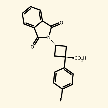 O=C1c2ccccc2C(=O)N1[C@H]1C[C@@](C(=O)O)(c2ccc(F)cc2)C1